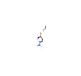 C=CCOC(=O)c1ccc(C(=N)NO)nc1